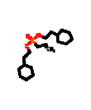 C=CCP(=O)(OCCC1CCCCC1)OCCC1CCCCC1